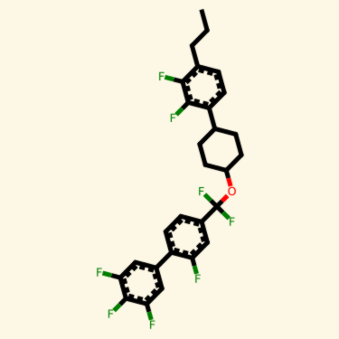 CCCc1ccc(C2CCC(OC(F)(F)c3ccc(-c4cc(F)c(F)c(F)c4)c(F)c3)CC2)c(F)c1F